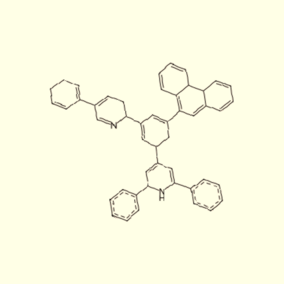 C1=CC2=CC(C3=CC(C4CC=C(C5=CCCC=C5)C=N4)=CC(C4=CC(c5ccccc5)NC(c5ccccc5)=C4)C3)=C3C=CC=CC3C2C=C1